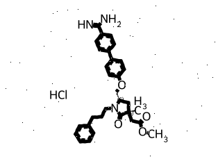 COC(=O)C[C@]1(C)C[C@@H](COc2ccc(-c3ccc(C(=N)N)cc3)cc2)N(CCCc2ccccc2)C1=O.Cl